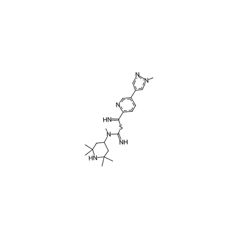 CN(C(=N)SC(=N)c1ccc(-c2cnn(C)c2)cn1)C1CC(C)(C)NC(C)(C)C1